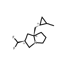 CC1C[C@H]1C[C@@]12CCCN1C[C@@H](C(F)F)C2